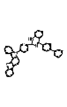 c1ccc(-c2ccc(C3=NC(c4ccc(-n5c6ccccc6c6c7sc8ccccc8c7ccc65)cc4)Nc4ccccc43)cc2)cc1